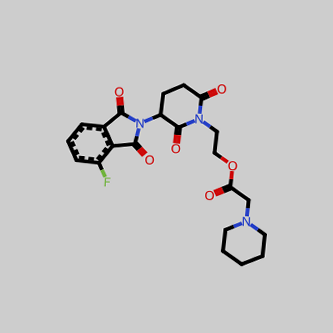 O=C(CN1CCCCC1)OCCN1C(=O)CCC(N2C(=O)c3cccc(F)c3C2=O)C1=O